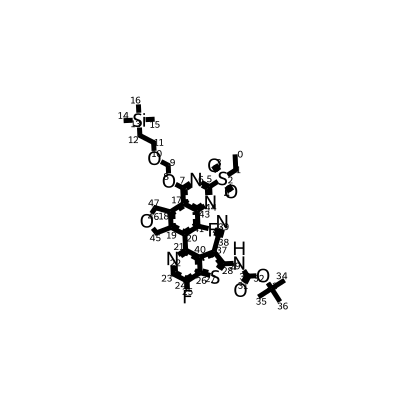 CCS(=O)(=O)c1nc(OCOCC[Si](C)(C)C)c2c3c(c(-c4ncc(F)c5sc(NC(=O)OC(C)(C)C)c(C#N)c45)c(F)c2n1)COC3